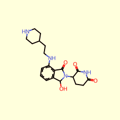 O=C1CCC(N2C(=O)c3c(NCCC4CCNCC4)cccc3C2O)C(=O)N1